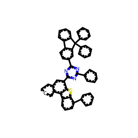 c1ccc(-c2nc(-c3ccc4c(c3)C(c3ccccc3)(c3ccccc3)c3ccccc3-4)nc(-c3cc4ccccc4c4c3sc3c(-c5ccccc5)cccc34)n2)cc1